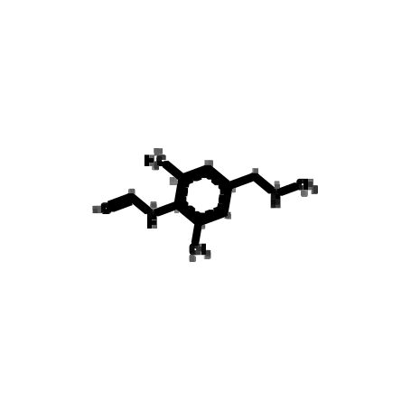 CNCc1cc(C)c(NC=O)c(C)c1